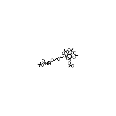 CC(=O)OC[C@H]1O[C@@H](OCCOCCOCCNC(=O)OC(C)(C)C)[C@H](OC(C)=O)[C@@H](OC(C)=O)[C@@H]1OC(C)=O